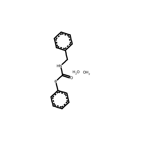 O.O.O=C([B]c1ccccc1)NCc1ccccc1